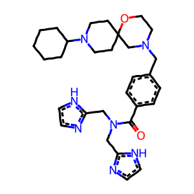 O=C(c1ccc(CN2CCOC3(CCN(C4CCCCC4)CC3)C2)cc1)N(Cc1ncc[nH]1)Cc1ncc[nH]1